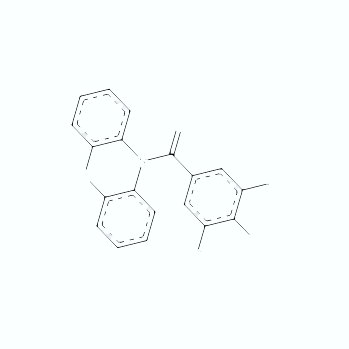 O=C(c1cc(Cl)c(O)c(Cl)c1)N1c2ccccc2Oc2ccccc21